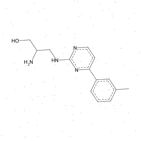 Cc1cccc(-c2ccnc(NCC(N)CO)n2)c1